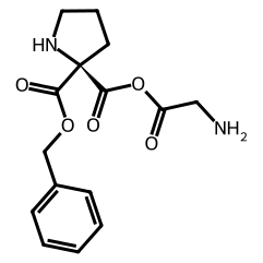 NCC(=O)OC(=O)[C@]1(C(=O)OCc2ccccc2)CCCN1